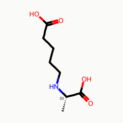 C[C@H](NCCCCC(=O)O)C(=O)O